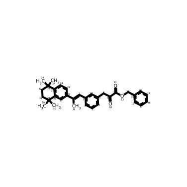 C/C(=C\c1cccc(CC(=O)C(=O)OCc2ccccc2)c1)c1ccc2c(c1)C(C)(C)CCC2(C)C